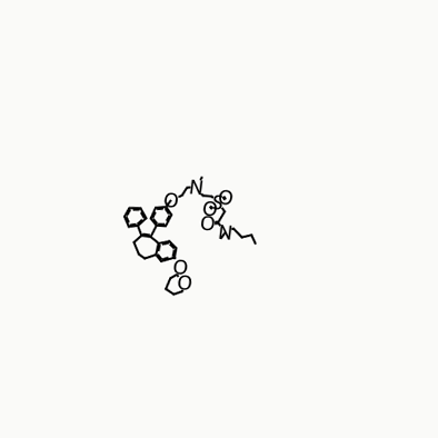 CCCCN(C)C(=O)CS(=O)(=O)CCN(C)CCOc1ccc(C2=C(c3ccccc3)CCCc3cc(OC4CCCCO4)ccc32)cc1